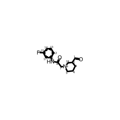 O=CC1CCCN(CC(=O)Nc2cccc(F)c2)C1